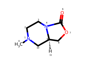 CN1CCN2C(=O)OC[C@H]2C1